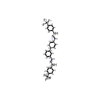 FC(F)(F)c1ccc(N/N=C/C2=CCC(c3cccc(/C=N/Nc4ccc(C(F)(F)F)cc4)c3)C=C2)cc1